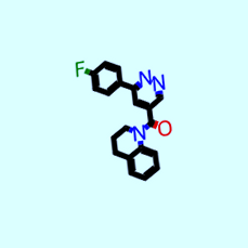 O=C(c1cnnc(-c2ccc(F)cc2)c1)N1CCCc2ccccc21